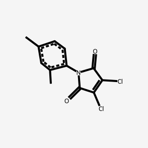 Cc1ccc(N2C(=O)C(Cl)=C(Cl)C2=O)c(C)c1